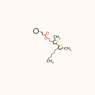 CCCCCCc1cc(C)sc1-c1cc(CCOC(=O)/C=C/c2ccccc2)c(C)s1